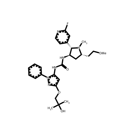 COCC[C@@H]1C[C@@H](NC(=O)Nc2cc(OCC(C)(C)O)nn2-c2ccccc2)[C@H](c2ccnc(F)c2)N1C